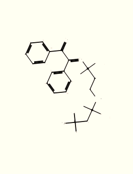 CC(C)(N)CC(C)(C)OCCC(C)(C)/N=C(/C(=N)c1ccccc1)c1ccccc1